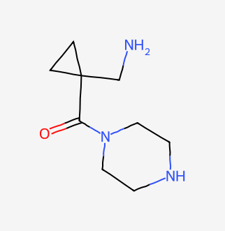 NCC1(C(=O)N2CCNCC2)CC1